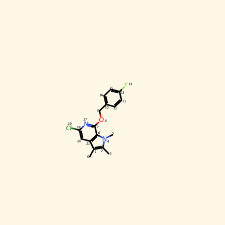 Cc1c(C)n(C)c2c(OCc3ccc(F)cc3)nc(Cl)cc12